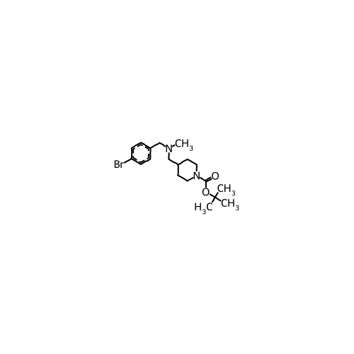 CN(Cc1ccc(Br)cc1)CC1CCN(C(=O)OC(C)(C)C)CC1